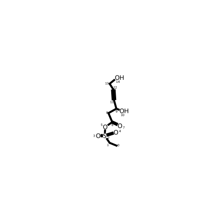 CCS(=O)(=O)OC(=O)CC(O)C#CCO